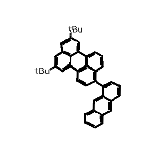 CC(C)(C)c1cc2cc(C(C)(C)C)cc3c4ccc(-c5cccc6cc7ccccc7cc56)c5cccc(c(c1)c23)c54